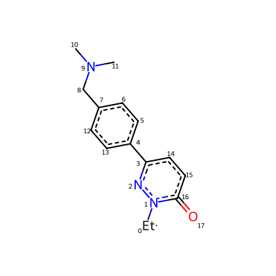 C[CH]n1nc(-c2ccc(CN(C)C)cc2)ccc1=O